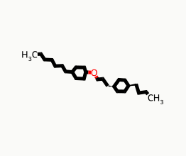 CCCCCCCC1CCC(OCCC[C@H]2CC[C@H](CCCC)CC2)CC1